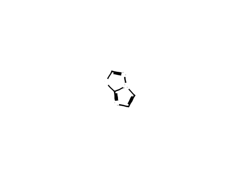 C1=C[N+]2N=CSC2=N1